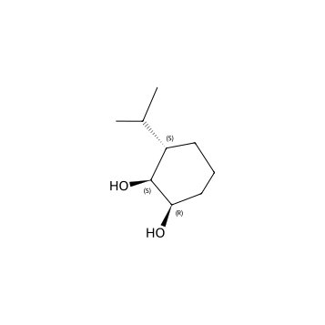 CC(C)[C@@H]1CCC[C@@H](O)[C@H]1O